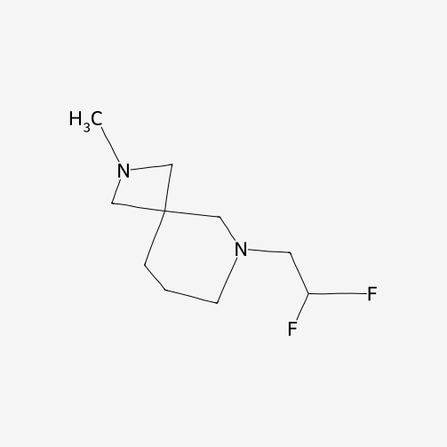 CN1CC2(CCCN(CC(F)F)C2)C1